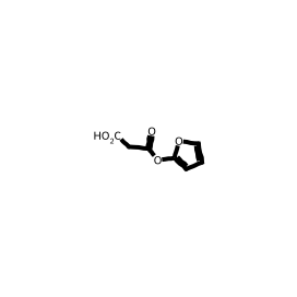 O=C(O)CC(=O)Oc1ccco1